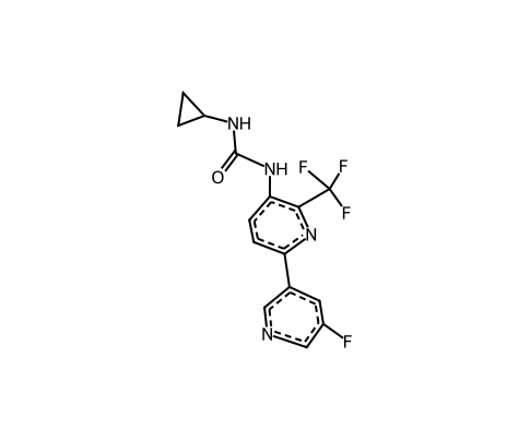 O=C(Nc1ccc(-c2cncc(F)c2)nc1C(F)(F)F)NC1CC1